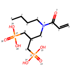 C=CC(=O)N(CCCC)CC(CP(=O)(O)O)CP(=O)(O)O